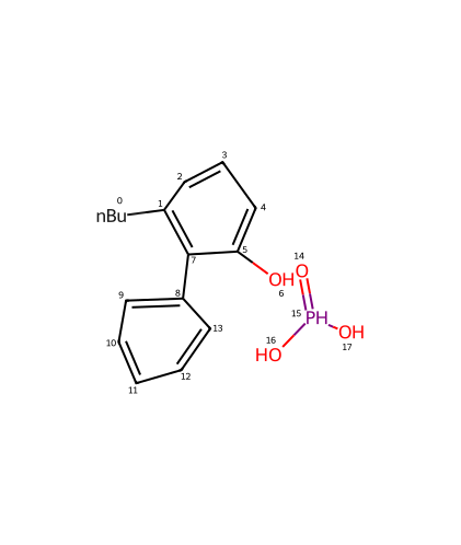 CCCCc1cccc(O)c1-c1ccccc1.O=[PH](O)O